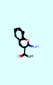 N=c1oc2ccccc2cc1C(=O)[SeH]